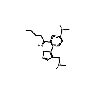 CCCCC(=N)c1cc(N(C)C)ccc1C1=C(CN(C)C)C=CC1